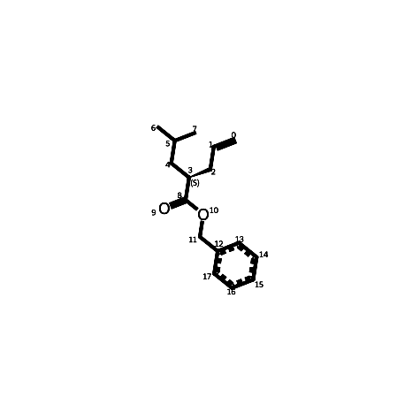 C=CC[C@H](CC(C)C)C(=O)OCc1ccccc1